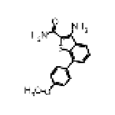 COc1ccc(-c2cccc3c(N)c(C(N)=O)sc23)cc1